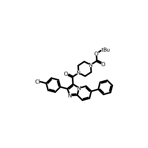 CC(C)(C)OC(=O)N1CCN(C(=O)c2c(-c3ccc(Cl)cc3)nc3ccc(-c4ccccc4)cn23)CC1